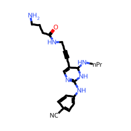 CCCNC1NC(Nc2ccc(C#N)cc2)=NC=C1C#CCNC(=O)CCCN